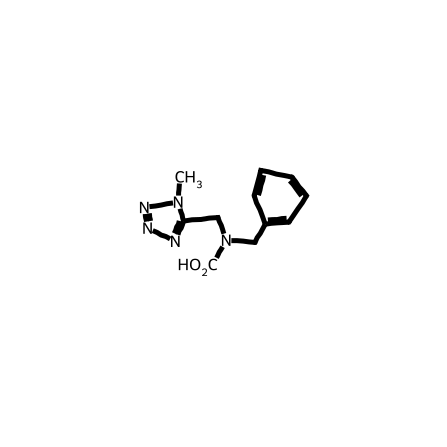 Cn1nnnc1CN(Cc1ccccc1)C(=O)O